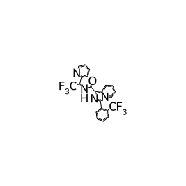 O=C(NC(c1ccccn1)C(F)(F)F)c1nc(-c2ccccc2C(F)(F)F)n2ccccc12